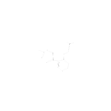 Cc1ccc(-c2ccccc2/C=C/C(=O)O)cc1